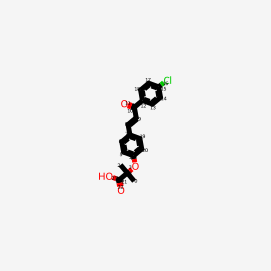 CC(C)(Oc1ccc(C=CC(=O)c2ccc(Cl)cc2)cc1)C(=O)O